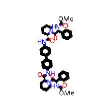 COC(=O)N[C@@H](C(=O)N1CCCC[C@H]1C(=O)Nc1ccc(-c2ccc(NC(=O)[C@@H]3CCCCN3C(=O)[C@H](NC(=O)OC)c3ccccc3)cc2)cc1)c1ccccc1